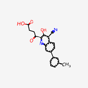 Cc1cccc(-c2ccc3c(C#N)c(O)c(C(=O)CCC(=O)O)nc3c2)c1